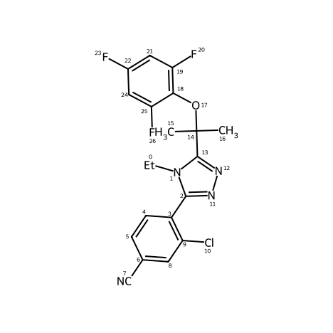 CCn1c(-c2ccc(C#N)cc2Cl)nnc1C(C)(C)Oc1c(F)cc(F)cc1F